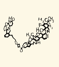 Cn1cc(-c2ccnc(-n3ncc4cc(C(C)(C)C)cc(F)c4c3=O)c2CO)cc(Nc2cc3n(n2)CCN(C(=O)[C@H]2C[C@@H](OCCCc4cccc5c4CN(C4CCC(=O)NC4=O)C5=O)C2)C3)c1=O